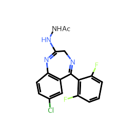 CC(=O)NNC1=Nc2ccc(Cl)cc2C(c2c(F)cccc2F)=NC1